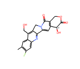 Cc1cc2c(CO)c3c(nc2cc1F)-c1cc2c(c(=O)n1C3)COC(=O)[C@H]2O